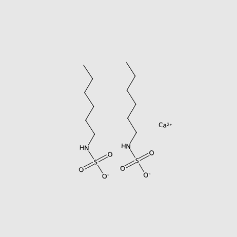 CCCCCCNS(=O)(=O)[O-].CCCCCCNS(=O)(=O)[O-].[Ca+2]